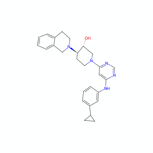 O[C@@H]1CN(c2cc(Nc3cccc(C4CC4)c3)ncn2)CC[C@H]1N1CCc2ccccc2C1